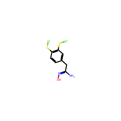 NC(Cc1ccc(SCl)c(SCl)c1)=NO